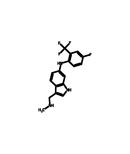 CNCc1c[nH]c2cc(Nc3ccc(F)cc3C(F)(F)F)ccc12